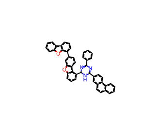 c1ccc(C2=NC(c3cccc4oc5cc(-c6cccc7c6oc6ccccc67)ccc5c34)NC(c3ccc4c(ccc5ccccc54)c3)=N2)cc1